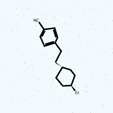 CC[C@H]1CC[C@H](CCc2ccc(C#N)cc2)CC1